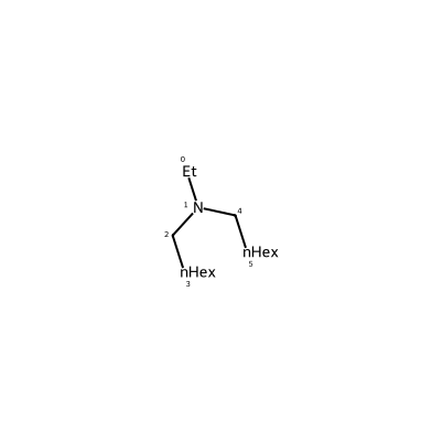 [CH2]CN(CCCCCCC)CCCCCCC